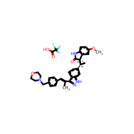 COc1ccc2c(c1)[C@]1(C[C@H]1c1ccc3c(C(C)=Cc4ccc(CN5CCOCC5)cc4)n[nH]c3c1)C(=O)N2.O=C(O)C(F)(F)F